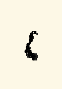 CCOc1cnc(N2CCC(CCCOc3ccc(C(C=O)N4CCN(C[C@H](O)[C@@H](O)[C@H](O)[C@H](O)CO)CC4)c(F)c3)CC2)nc1